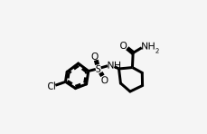 NC(=O)C1CCCCC1NS(=O)(=O)c1ccc(Cl)cc1